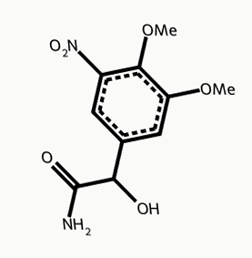 COc1cc(C(O)C(N)=O)cc([N+](=O)[O-])c1OC